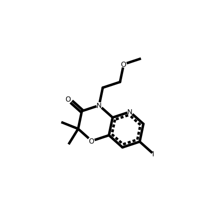 COCCN1C(=O)C(C)(C)Oc2cc(I)cnc21